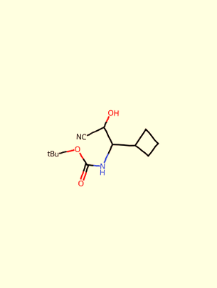 CC(C)(C)OC(=O)NC(C(O)C#N)C1CCC1